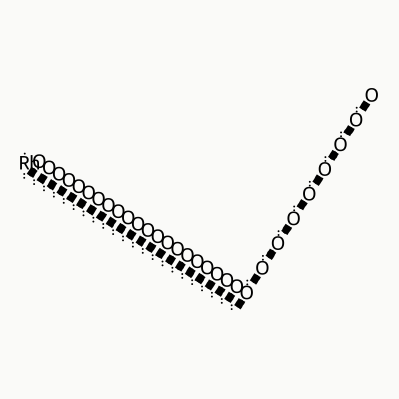 [C]=O.[C]=O.[C]=O.[C]=O.[C]=O.[C]=O.[C]=O.[C]=O.[C]=O.[C]=O.[C]=O.[C]=O.[C]=O.[C]=O.[C]=O.[C]=O.[C]=O.[C]=O.[C]=O.[C]=O.[C]=O.[C]=O.[C]=O.[C]=O.[C]=O.[C]=O.[C]=O.[C]=O.[C]=O.[C]=O.[Rh]